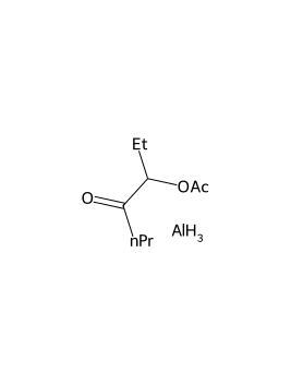 CCCC(=O)C(CC)OC(C)=O.[AlH3]